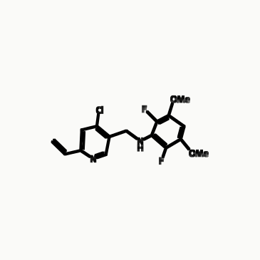 C=Cc1cc(Cl)c(CNc2c(F)c(OC)cc(OC)c2F)cn1